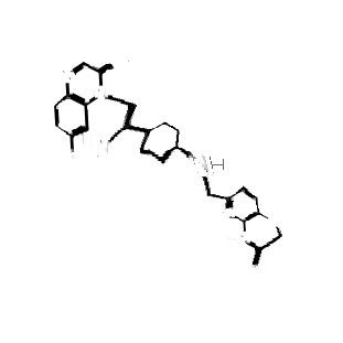 NC(Cn1c(=O)cnc2ccc(F)cc21)C1CCC(NCc2ccc3c(n2)NC(=O)CO3)CC1